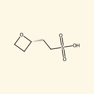 O=S(=O)(O)CC[C@@H]1CCO1